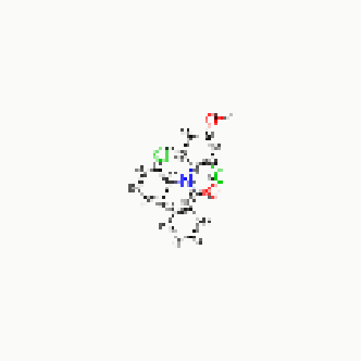 COc1cc(Cl)c(N(C(=O)c2ccccc2)c2ccccc2)c(Cl)c1